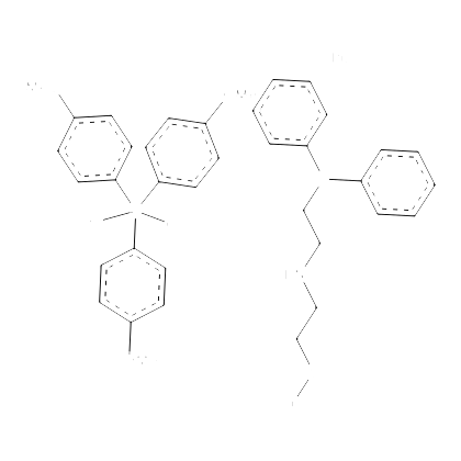 CCSCCNCCP(c1ccccc1)c1ccccc1.COc1ccc(P(Cl)(Cl)(c2ccc(OC)cc2)c2ccc(OC)cc2)cc1.[Ru]